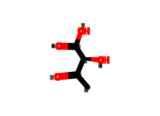 CC(=O)[C@H](O)C(=O)O